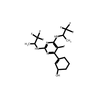 CC(Nc1nc(NC(C)C(F)(F)F)c(F)c(C2=CC(O)CCC2)n1)C(F)(F)F